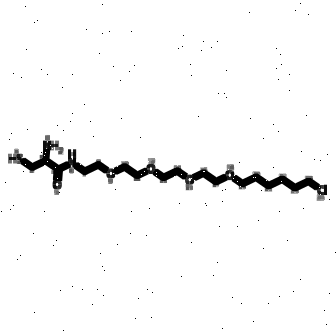 NC(CS)C(=O)NCCOCCOCCOCCOCCCCCCCl